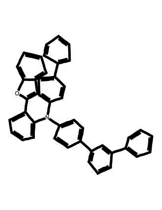 c1ccc(-c2ccc(N(c3ccc(-c4cccc(-c5ccccc5)c4)cc3)c3ccccc3-c3cc4ccccc4o3)cc2)cc1